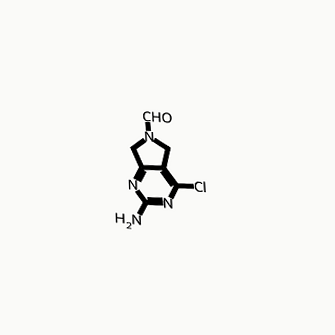 Nc1nc(Cl)c2c(n1)CN(C=O)C2